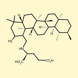 C[C@@H]1[C@H]2[C@H]3CC[C@@H]4[C@@]5(C)C(CN[C@@H](CCC(=O)O)C(=O)O)C(S)CC(C)(C)[C@@H]5CC[C@@]4(C)[C@]3(C)CC[C@@]2(C)CC[C@H]1C